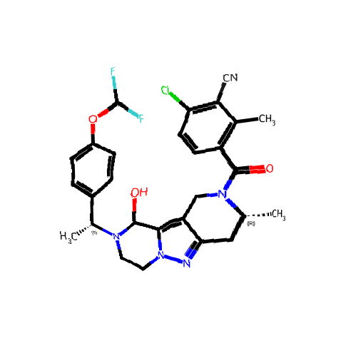 Cc1c(C(=O)N2Cc3c(nn4c3C(O)N([C@H](C)c3ccc(OC(F)F)cc3)CC4)C[C@H]2C)ccc(Cl)c1C#N